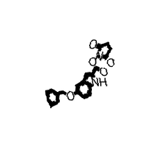 O=C(ON1C(=O)CCC1=O)c1cc2cc(OCc3ccccc3)ccc2[nH]1